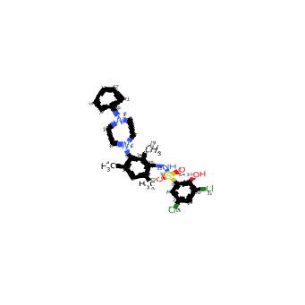 Cc1cc(C)c(N2CCN(c3ccccc3)CC2)c(C)c1NS(=O)(=O)c1cc(Cl)cc(Cl)c1O